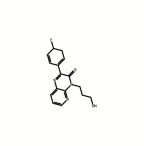 O=c1c(C2=CCC(F)C=C2)nc2cccnc2n1CCCO